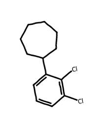 Clc1cccc(C2CCCCCC2)c1Cl